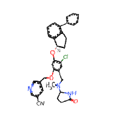 CN(Cc1cc(Cl)c(O[C@H]2CCc3c(-c4ccccc4)cccc32)cc1OCc1cncc(C#N)c1)C1CCC(=O)N1